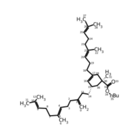 C=C(CC/C=C(\C)CCC=C(C)C)CC[C@@H]1C=C(CC/C=C(\C)CCC=C(C)C)C[C@@](C)(C(=O)OCCCC)C1